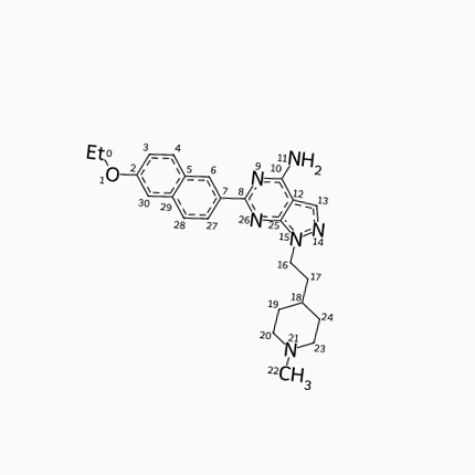 CCOc1ccc2cc(-c3nc(N)c4cnn(CCC5CCN(C)CC5)c4n3)ccc2c1